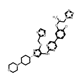 C[C@@H](Cn1cnnn1)Oc1cc(-c2cnc(Nc3cn([C@H]4CC[C@H](N5CCOCC5)CC4)nc3OCc3ncco3)nc2)ccc1Cl